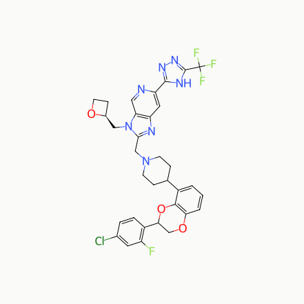 Fc1cc(Cl)ccc1C1COc2cccc(C3CCN(Cc4nc5cc(-c6nnc(C(F)(F)F)[nH]6)ncc5n4C[C@@H]4CCO4)CC3)c2O1